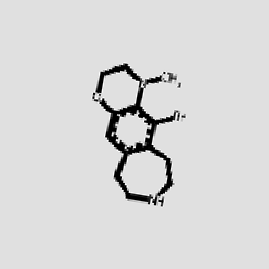 CN1CCOc2cc3c(c(Br)c21)CCNCC3